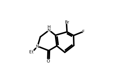 CCN1CNc2c(ccc(F)c2Br)C1=O